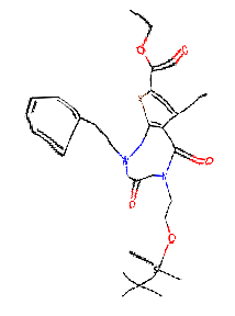 CCOC(=O)c1sc2c(c1C)c(=O)n(CCO[Si](C)(C)C(C)(C)C)c(=O)n2CCc1ccccc1